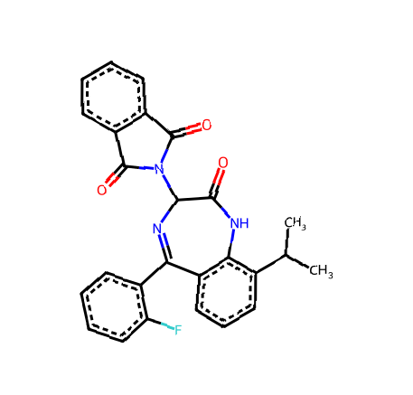 CC(C)c1cccc2c1NC(=O)C(N1C(=O)c3ccccc3C1=O)N=C2c1ccccc1F